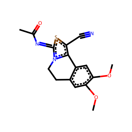 COc1cc2c(cc1OC)-c1c(C#N)sc(=NC(C)=O)n1CC2